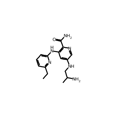 CCc1cccc(Nc2cc(NCC(C)N)cnc2C(N)=O)n1